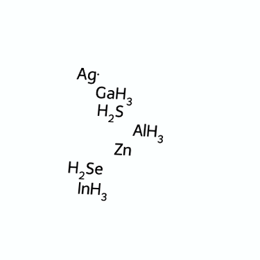 S.[Ag].[AlH3].[GaH3].[InH3].[SeH2].[Zn]